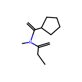 C=C(CC)N(C)C(=C)C1CCCC1